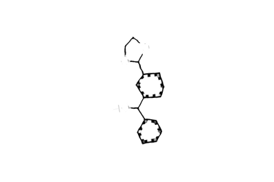 OC(c1ccccc1)c1cccc(C2OCCO2)c1